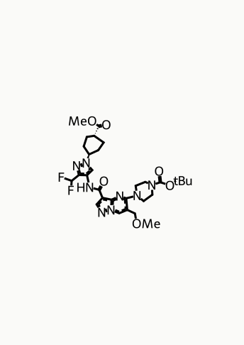 COCc1cn2ncc(C(=O)Nc3cn([C@H]4CC[C@H](C(=O)OC)CC4)nc3C(F)F)c2nc1N1CCN(C(=O)OC(C)(C)C)CC1